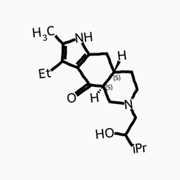 CCc1c(C)[nH]c2c1C(=O)[C@@H]1CN(CC(O)C(C)C)CC[C@H]1C2